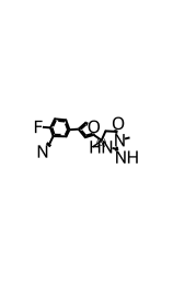 CN1C(=N)N[C@](C)(c2cc(-c3ccc(F)c(C#N)c3)co2)CC1=O